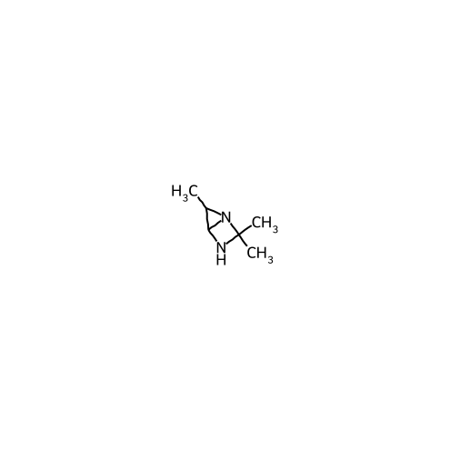 CC1C2NC(C)(C)N12